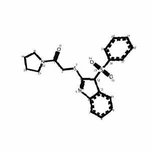 O=C(CSC1=Nc2ccccc2C1S(=O)(=O)c1ccccc1)N1CCCC1